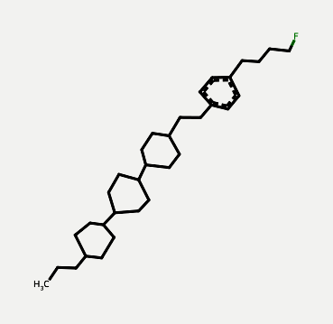 CCCC1CCC(C2CCC(C3CCC(CCc4ccc(CCCCF)cc4)CC3)CC2)CC1